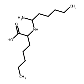 CCCCCC(N)NC(CCCCC)C(=O)O